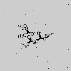 CC(=O)[O-].CC(=O)[O-].CC(=O)[O-].O.[Rh+3]